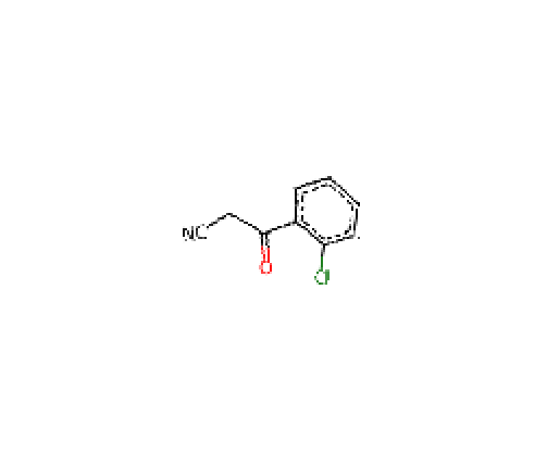 N#CCC(=O)c1ccc[c]c1Cl